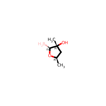 B[C@@H]1O[C@H](C)C[C@@]1(C)O